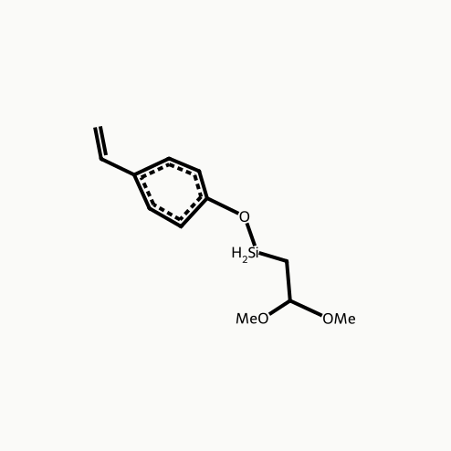 C=Cc1ccc(O[SiH2]CC(OC)OC)cc1